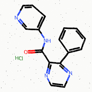 Cl.O=C(Nc1cccnc1)c1nccnc1-c1ccccc1